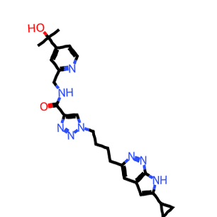 CC(C)(O)c1ccnc(CNC(=O)c2cn(CCCCc3cc4cc(C5CC5)[nH]c4nn3)nn2)c1